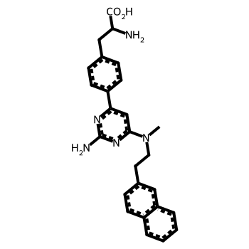 CN(CCc1ccc2ccccc2c1)c1cc(-c2ccc(CC(N)C(=O)O)cc2)nc(N)n1